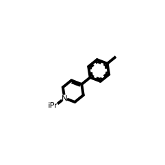 Cc1ccc(C2=CCN(C(C)C)CC2)cc1